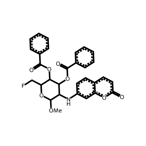 COC1OC(CF)C(OC(=O)c2ccccc2)C(OC(=O)c2ccccc2)C1Nc1ccc2ccc(=O)oc2c1